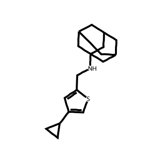 c1sc(CNC23CC4CC(CC(C4)C2)C3)cc1C1CC1